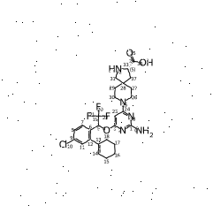 Nc1nc(OC(c2ccc(Cl)cc2C2=CCCCC2)C(F)(F)F)cc(N2CCC3(CC2)CN[C@H](C(=O)O)C3)n1